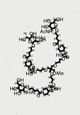 COCC(COCCCOP(=O)(O)OC1CCN(C(=O)CCCCOC2OC(CO)C(O)C(O)C2NC(C)=O)CC1)(COCCCOP(=O)(O)OC1CCN(C(=O)CCCCOC2OC(CO)C(O)C(O)C2NC(C)=O)CC1)COCCCOP(=O)(O)OC1CCN(C(=O)CCCCOC(OC(CO)[C@@H](C)O)[C@H](CO)NC(C)=O)CC1